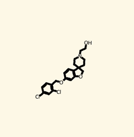 OCCN1CCC2(CC1)COc1cc(OCc3ccc(Cl)cc3Cl)ccc12